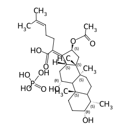 CC(=O)O[C@H]1C[C@@]2(C)[C@H](C[C@@H](O)C3[C@@]4(C)CC[C@@H](O)[C@@H](C)C4CC[C@@]32C)C1=C(CCC=C(C)C)C(=O)O.O=P(O)(O)O